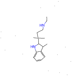 CCNCCC(C)(C)C1Nc2ccccc2C1C